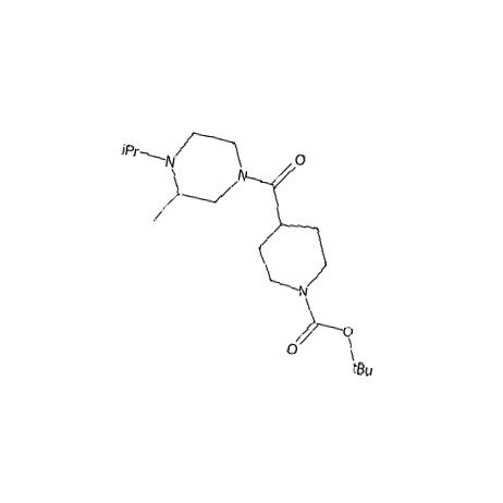 CC(C)N1CCN(C(=O)C2CCN(C(=O)OC(C)(C)C)CC2)CC1C